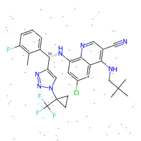 Cc1c(F)cccc1[C@H](Nc1cc(Cl)cc2c(NCC(C)(C)C)c(C#N)cnc12)c1cn(C2(C(F)(F)F)CC2)nn1